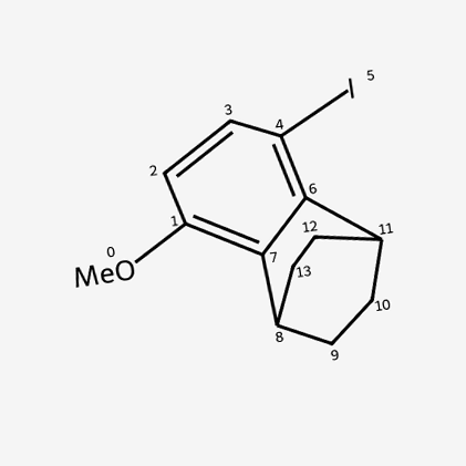 COc1ccc(I)c2c1C1CCC2CC1